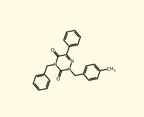 Cc1ccc(Cn2nc(-c3ccccc3)c(=O)n(Cc3ccccc3)c2=O)cc1